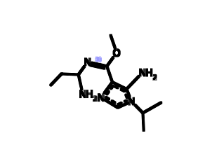 CCC(N)/N=C(/OC)c1ncn(C(C)C)c1N